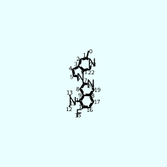 Cc1cc2ccn(-c3cc4c(N(C)C)c(F)ccc4cn3)c2cn1